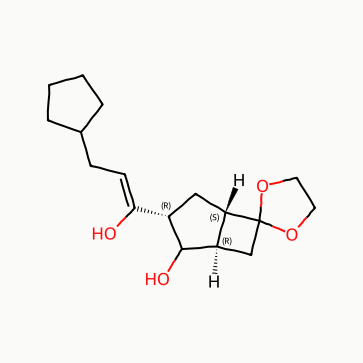 OC(=CCC1CCCC1)[C@@H]1C[C@H]2[C@@H](CC23OCCO3)C1O